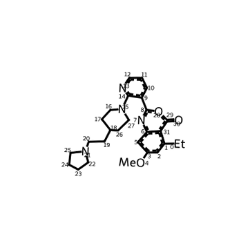 CCc1cc(OC)cc2nc(-c3cccnc3N3CCC(CCN4CCCC4)CC3)oc(=O)c12